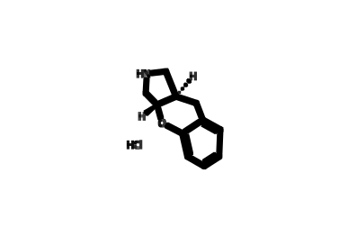 Cl.c1ccc2c(c1)C[C@@H]1CNC[C@H]1O2